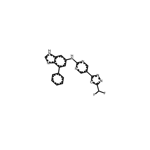 FC(F)c1nnc(-c2cnc(Nc3cc(-c4ccccc4)c4nc[nH]c4c3)nc2)o1